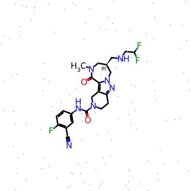 CN1C[C@@H](CNCC(F)F)Cn2nc3c(c2C1=O)CN(C(=O)Nc1ccc(F)c(C#N)c1)CC3